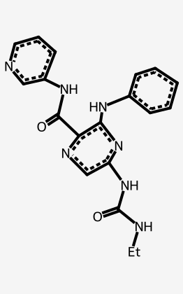 CCNC(=O)Nc1cnc(C(=O)Nc2cccnc2)c(Nc2ccccc2)n1